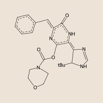 CC(C)(C)C1NC=NC1=c1[nH]c(=O)c(=Cc2ccccc2)nc1OC(=O)N1CCOCC1